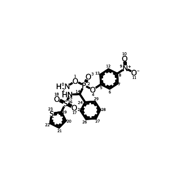 NOP(=O)(Oc1ccc([N+](=O)[O-])cc1)C(NS(=O)(=O)c1cccs1)c1ccccc1